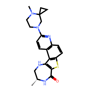 C[C@@H]1CNc2c(sc3ccc4nc(N5CCN(C)C6(CC6)C5)ccc4c23)C(=O)N1